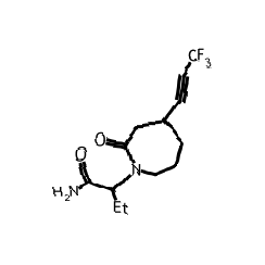 CCC(C(N)=O)N1CCCC(C#CC(F)(F)F)CC1=O